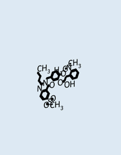 CCCCc1nc2ccc(S(C)(=O)=O)cc2c(=O)n1Cc1ccc(OC(C(=O)O)c2ccccc2N(C)C)cc1